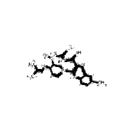 COC1CN(c2nc3ccc(C)cc3cc2C(=N)NC(C)=O)CCC1NCC(C)C